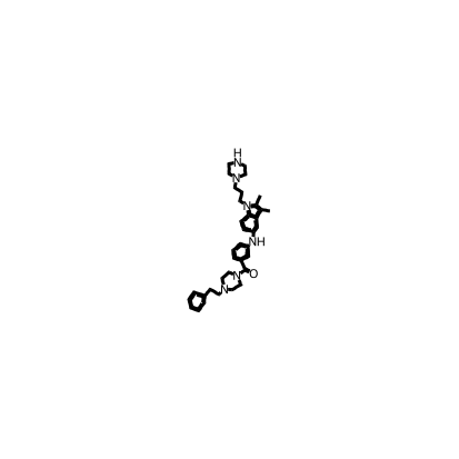 Cc1c(C)n(CCCN2CCNCC2)c2ccc(Nc3cccc(C(=O)N4CCN(CCc5ccccc5)CC4)c3)cc12